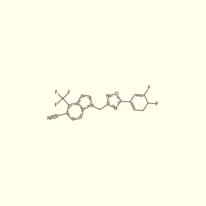 N#Cc1ccc2c(ccn2Cc2noc(C3=CCC(F)C(F)=C3)n2)c1C(F)(F)F